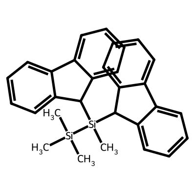 C[Si](C)(C)[Si](C)(C1c2ccccc2-c2ccccc21)C1c2ccccc2-c2ccccc21